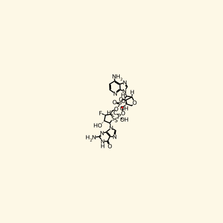 CP(O)(=S)OC[C@@]12CO[C@@H]([C@H](n3cnc4c(N)ccnc43)O1)[C@@H]2OP(=O)(O)OC[C@H]1S[C@@H](n2cnc3c(=O)[nH]c(N)nc32)[C@H](O)[C@H]1F